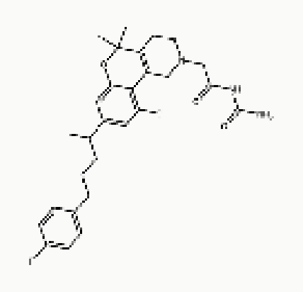 CC(CCCc1ccc(F)cc1)c1cc(O)c2c(c1)OC(C)(C)C1=C2CN(CC(=O)NC(N)=O)CC1